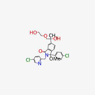 CO[C@]1(c2ccc(Cl)cc2)c2ccc(C(C)(O)COCCO)cc2C(=O)N1Cc1ccc(Cl)cn1